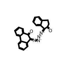 [N-]=[N+]=C1C(=O)CCc2ccccc21.[N-]=[N+]=C1C(=O)c2ccccc2-c2ccccc21